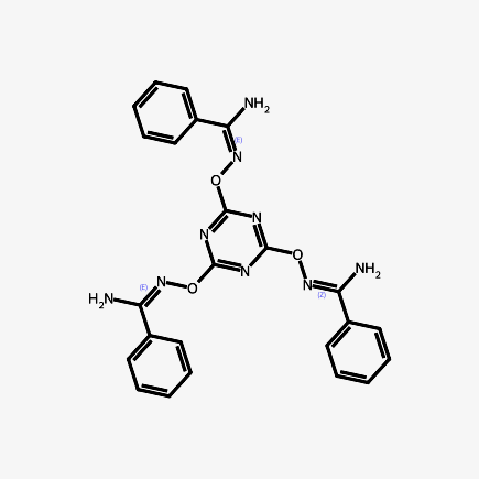 N/C(=N\Oc1nc(O/N=C(/N)c2ccccc2)nc(O/N=C(/N)c2ccccc2)n1)c1ccccc1